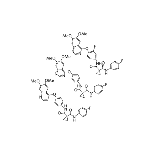 COc1cc2nccc(Oc3ccc(NC(=O)C4(C(=O)Nc5ccc(F)cc5)CC4)cc3)c2cc1OC.COc1cc2ncnc(Oc3ccc(NC(=O)C4(C(=O)Nc5ccc(F)cc5)CC4)cc3)c2cc1OC.COc1cc2ncnc(Oc3ccc(NC(=O)C4(C(=O)Nc5ccc(F)cc5)CC4)cc3F)c2cc1OC